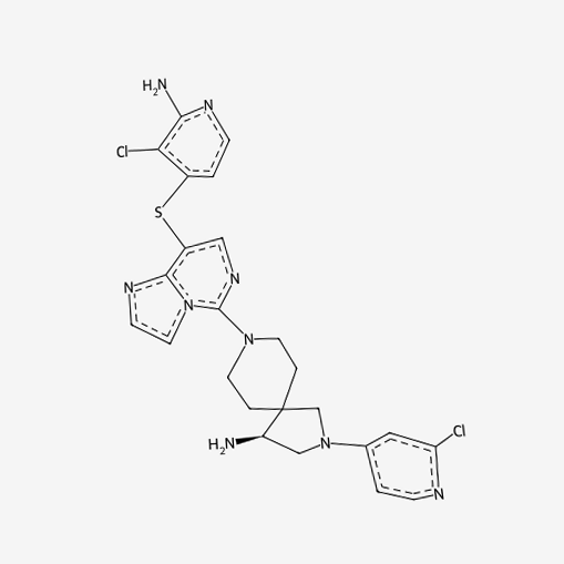 Nc1nccc(Sc2cnc(N3CCC4(CC3)CN(c3ccnc(Cl)c3)C[C@H]4N)n3ccnc23)c1Cl